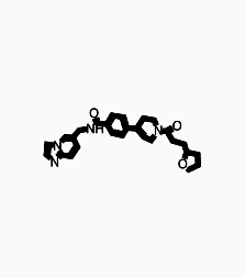 O=C(NCc1ccc2nccn2c1)c1ccc(C2=CCN(C(=O)CCC3CCCO3)CC2)cc1